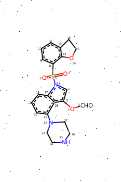 O=COc1cn(S(=O)(=O)c2cccc3c2OCC3)c2cccc(N3CCNCC3)c12